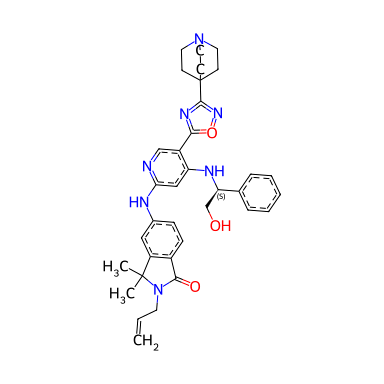 C=CCN1C(=O)c2ccc(Nc3cc(N[C@H](CO)c4ccccc4)c(-c4nc(C56CCN(CC5)CC6)no4)cn3)cc2C1(C)C